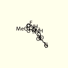 COc1ccc(F)cc1C(=O)c1cnc(NC2CCN(S(=O)(=O)CCCCN3CCCC3)CC2)nc1N